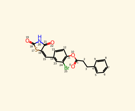 O=C(CCc1ccccc1)Oc1ccc(C=C2SC(=O)NC2=O)cc1Br